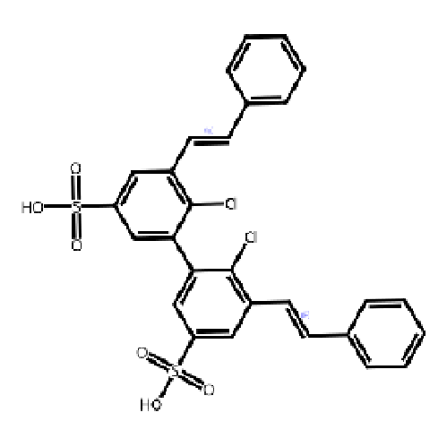 O=S(=O)(O)c1cc(/C=C/c2ccccc2)c(Cl)c(-c2cc(S(=O)(=O)O)cc(/C=C/c3ccccc3)c2Cl)c1